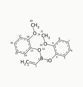 C=CB(Oc1ccccc1OC)Oc1ccccc1OC